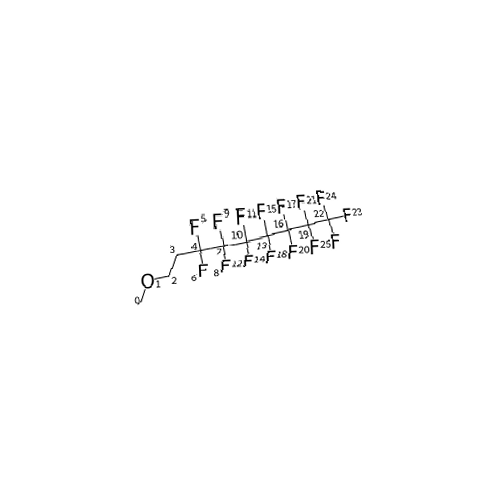 COCCC(F)(F)C(F)(F)C(F)(F)C(F)(F)C(F)(F)C(F)(F)C(F)(F)F